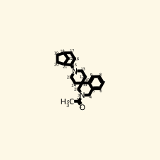 CC(=O)N1Cc2ccccc2C2(CCN(C3CCC4CCC3C4)CC2)C1